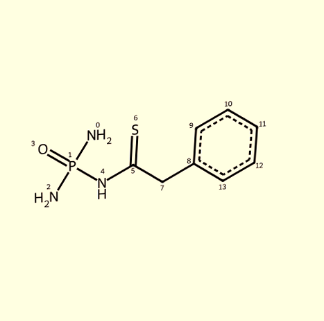 NP(N)(=O)NC(=S)Cc1ccccc1